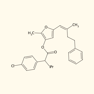 CC(=Cc1cc(OC(=O)C(c2ccc(Cl)cc2)C(C)C)c(C)o1)CCc1ccccc1